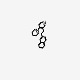 c1ccc2cc(CCc3cnccc3N3CCCCC3)ccc2c1